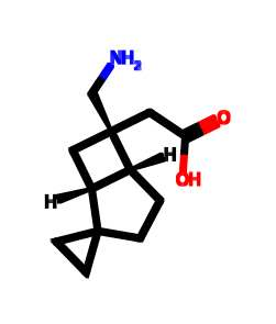 NC[C@]1(CC(=O)O)C[C@@H]2[C@H]1CCC21CC1